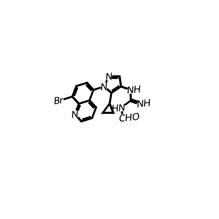 N=C(NC=O)Nc1cnn(-c2ccc(Br)c3ncccc23)c1C1CC1